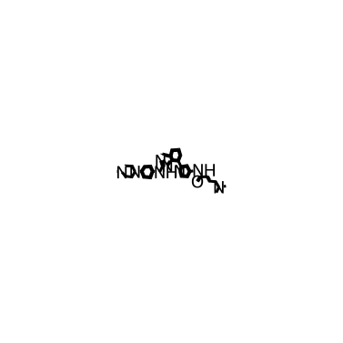 CN(C)C/C=C/C(=O)Nc1ccnc(-c2cccc3cnc(Nc4ccc(N5CCN(C)CC5)cc4)nc23)c1